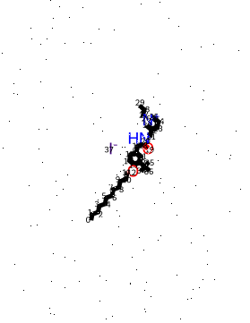 CCCCCCCCCCCCOc1ccc(CC(=O)NCc2ccc[n+](CCC)c2)cc1C(C)(C)C.[I-]